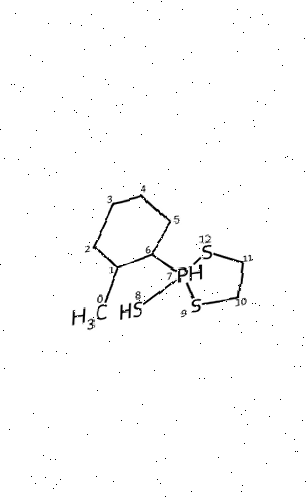 CC1CCCCC1[PH]1(S)SCCS1